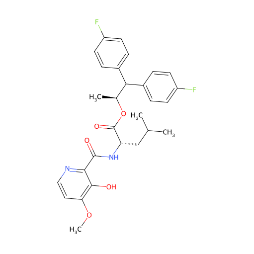 COc1ccnc(C(=O)N[C@@H](CC(C)C)C(=O)O[C@@H](C)C(c2ccc(F)cc2)c2ccc(F)cc2)c1O